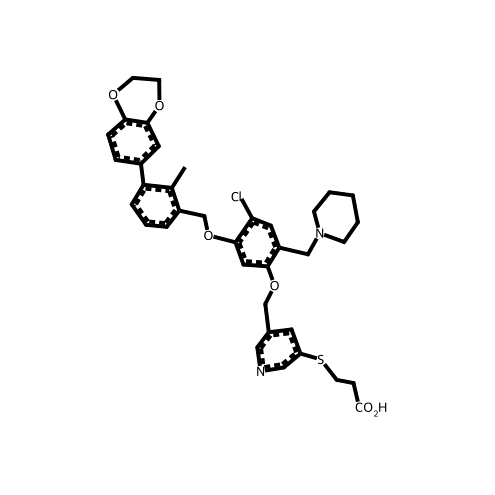 Cc1c(COc2cc(OCc3cncc(SCCC(=O)O)c3)c(CN3CCCCC3)cc2Cl)cccc1-c1ccc2c(c1)OCCO2